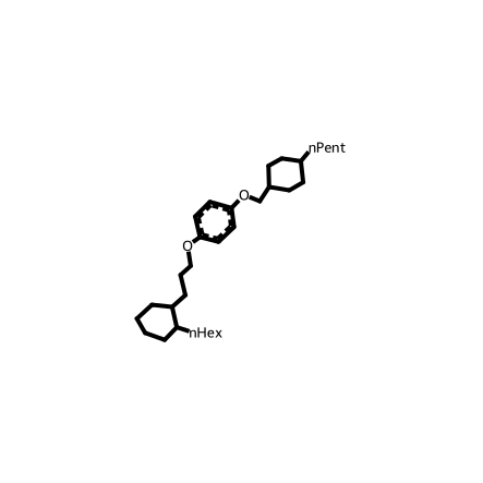 CCCCCCC1CCCCC1CCCOc1ccc(OCC2CCC(CCCCC)CC2)cc1